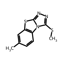 CSc1nnc2sc3cc(C)ccc3n12